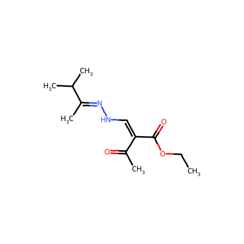 CCOC(=O)/C(=C/N/N=C(\C)C(C)C)C(C)=O